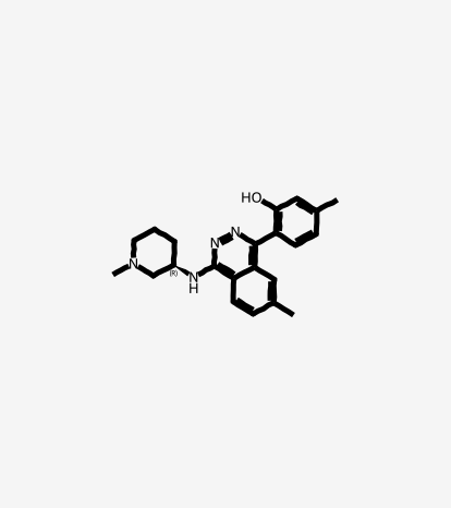 Cc1ccc(-c2nnc(N[C@@H]3CCCN(C)C3)c3ccc(C)cc23)c(O)c1